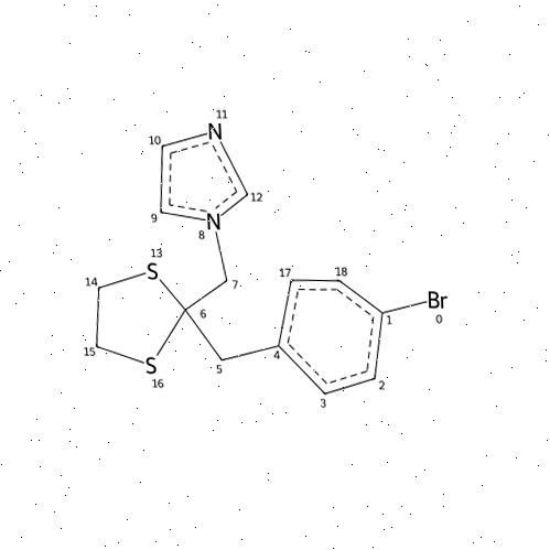 Brc1ccc(CC2(Cn3ccnc3)SCCS2)cc1